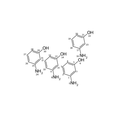 Nc1cccc(O)c1.Nc1cccc(O)c1.Nc1cccc(O)c1.Nc1cccc(O)c1